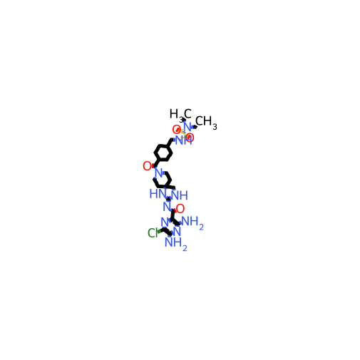 CCN(CC)S(=O)(=O)NCC1CCC(C(=O)N2CCC3(CC2)CN/C(=N\C(=O)c2nc(Cl)c(N)nc2N)N3)CC1